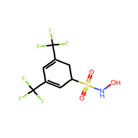 O=S(=O)(NO)C1C=C(C(F)(F)F)C=C(C(F)(F)F)C1